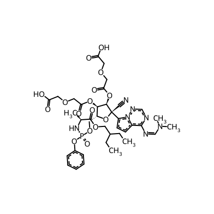 CCC(CC)COC(=O)[C@H](C)N[P@](=O)(OC[C@H]1O[C@@](C#N)(c2ccc3c(/N=C\N(C)C)ncnn23)[C@H](OC(=O)COCC(=O)O)[C@@H]1OC(=O)COCC(=O)O)Oc1ccccc1